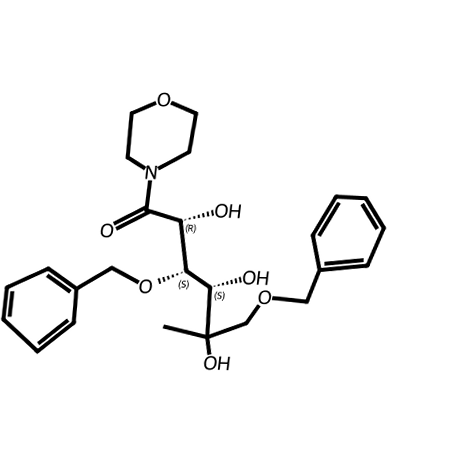 CC(O)(COCc1ccccc1)[C@@H](O)[C@H](OCc1ccccc1)[C@@H](O)C(=O)N1CCOCC1